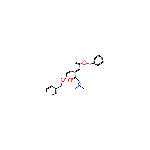 C=C(/C=C(\C=C/COCC(/C=C\C)=C/C)C(=O)CN(C)C)OCc1ccccc1